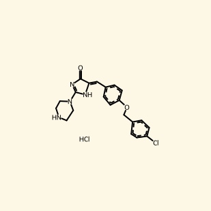 Cl.O=C1N=C(N2CCNCC2)NC1=Cc1ccc(OCc2ccc(Cl)cc2)cc1